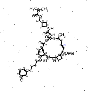 CCN1C[C@@H]2CC[C@H]2[C@@H](OC)/C=C/C[C@H](C)CS(=O)(NC(=O)N[C@H]2C[C@H](COC(=O)N(C)C)C2)=NC(=O)c2ccc(OCCCCc3cccc(Cl)c3)c1c2